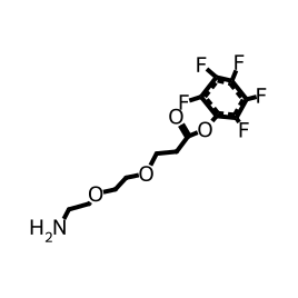 NCCOCCOCCC(=O)Oc1c(F)c(F)c(F)c(F)c1F